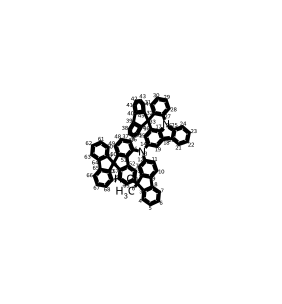 CC1(C)c2ccccc2-c2ccc(N(c3cc4c5c(c3)c3ccccc3n5-c3ccccc3C43c4ccccc4-c4ccccc43)c3cccc4c3-c3ccccc3C43c4ccccc4-c4ccccc43)cc21